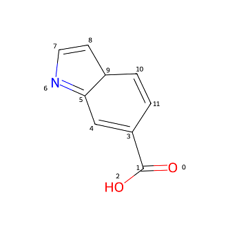 O=C(O)C1=CC2=NC=CC2C=C1